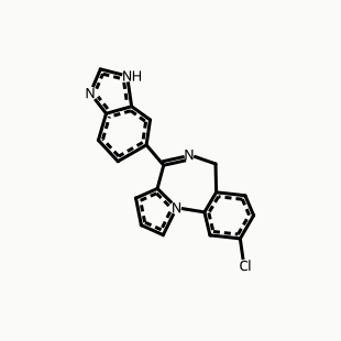 Clc1ccc2c(c1)-n1cccc1C(c1ccc3nc[nH]c3c1)=NC2